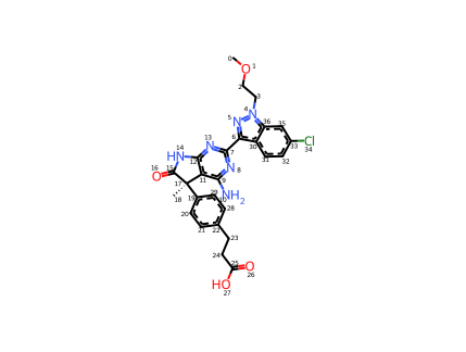 COCCn1nc(-c2nc(N)c3c(n2)NC(=O)[C@]3(C)c2ccc(CCC(=O)O)cc2)c2ccc(Cl)cc21